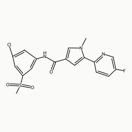 Cn1cc(C(=O)Nc2cc(Cl)cc(S(C)(=O)=O)c2)cc1-c1ccc(F)cn1